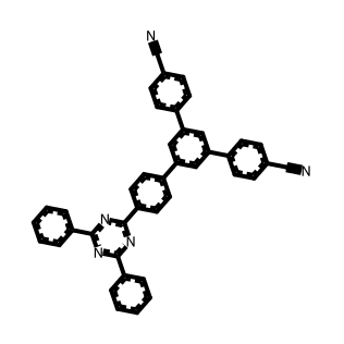 N#Cc1ccc(-c2cc(-c3ccc(C#N)cc3)cc(-c3ccc(-c4nc(-c5ccccc5)nc(-c5ccccc5)n4)cc3)c2)cc1